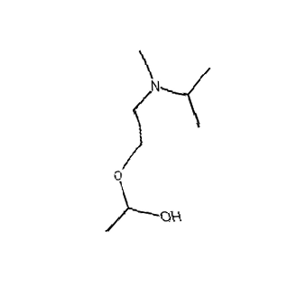 CC(O)OCCN(C)C(C)C